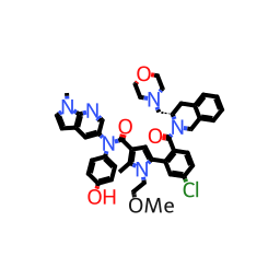 COCCn1c(-c2cc(Cl)ccc2C(=O)N2Cc3ccccc3C[C@H]2CN2CCOCC2)cc(C(=O)N(c2ccc(O)cc2)c2cnc3c(ccn3C)c2)c1C